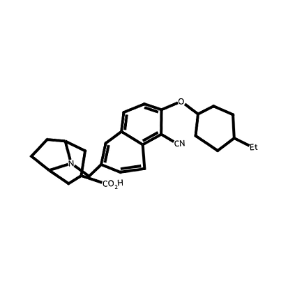 CCC1CCC(Oc2ccc3cc(CN4C5CCC4CC(C(=O)O)C5)ccc3c2C#N)CC1